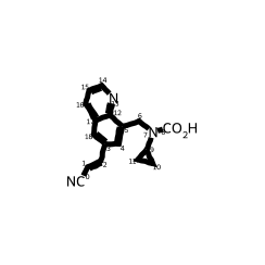 N#CC=Cc1cc(CN(C(=O)O)C2CC2)c2ncccc2c1